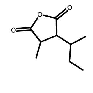 CCC(C)C1C(=O)OC(=O)C1C